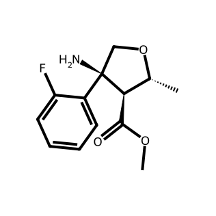 COC(=O)[C@@H]1[C@@H](C)OC[C@@]1(N)c1ccccc1F